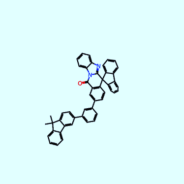 CC1(C)c2ccccc2-c2cc(-c3cccc(-c4ccc5c(c4)C(=O)n4c(nc6ccccc64)C54c5ccccc5-c5ccccc54)c3)ccc21